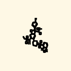 CCS(=O)(=O)Nc1cc2oc(-c3ccc(F)cc3)c(C(=O)NC)c2cc1[C@@H]1CCCN(S(=O)(=O)c2cccc3nonc23)C1